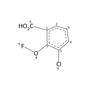 O=C(O)c1cccc(Cl)c1OF